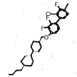 CCCC[C@H]1CC[C@H]([C@H]2CC[C@H](COc3ccc(-c4ccc(C)c(F)c4Cl)c(F)c3F)CC2)CC1